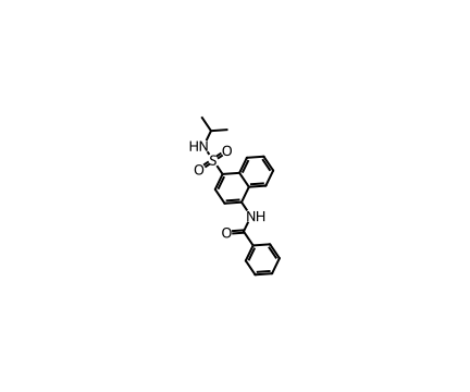 CC(C)NS(=O)(=O)c1ccc(NC(=O)c2ccccc2)c2ccccc12